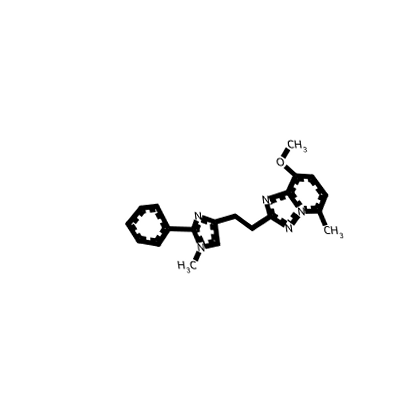 COc1ccc(C)n2nc(CCc3cn(C)c(-c4ccccc4)n3)nc12